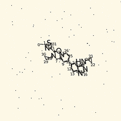 Cc1nc(C(=O)N(Cc2cc(-c3ccc4ncnc(NC5CC5)c4c3)ccn2)C2CC2)cs1